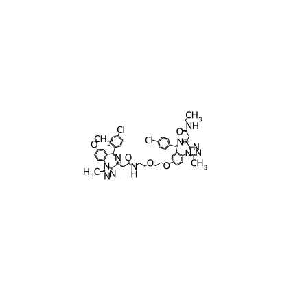 CCNC(=O)C[C@@H]1N=C(c2ccc(Cl)cc2)c2cc(OCCOCCNC(=O)C[C@@H]3N=C(c4ccc(Cl)cc4)c4cc(OC)ccc4-n4c(C)nnc43)ccc2-n2c(C)nnc21